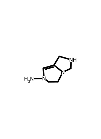 NN1C=C2CNCN2CC1